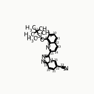 CC(C)(C)[Si](C)(C)Oc1cccc2ccc(-c3nnc4ccc(C#N)cn34)nc12